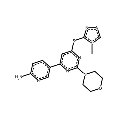 Cn1cnnc1Sc1cc(-c2ccc(N)nc2)nc(N2CCOCC2)n1